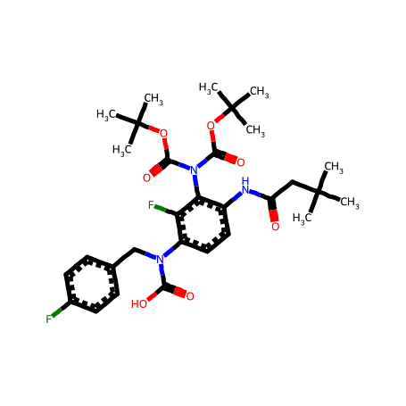 CC(C)(C)CC(=O)Nc1ccc(N(Cc2ccc(F)cc2)C(=O)O)c(F)c1N(C(=O)OC(C)(C)C)C(=O)OC(C)(C)C